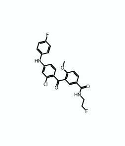 COc1ccc(C(=O)NCCF)cc1C(=O)c1ccc(Nc2ccc(F)cc2)cc1Cl